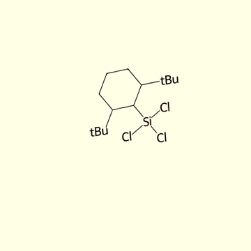 CC(C)(C)C1CCCC(C(C)(C)C)C1[Si](Cl)(Cl)Cl